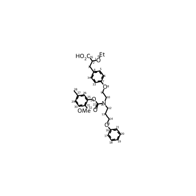 CCOC(Cc1ccc(OCCN(CCCOc2ccccc2)C(=O)Oc2cc(C)ccc2OC)cc1)C(=O)O